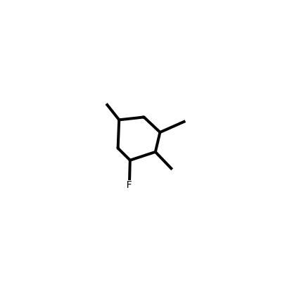 CC1CC(C)C(C)C(F)C1